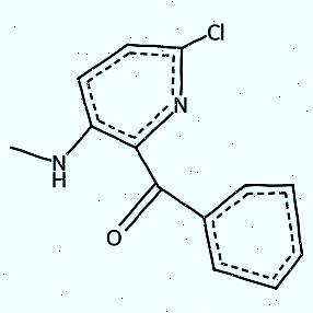 CNc1ccc(Cl)nc1C(=O)c1ccccc1